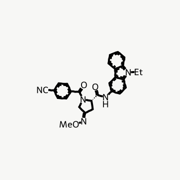 CCn1c2ccccc2c2cc(NC(=O)[C@@H]3CC(=NOC)CN3C(=O)c3ccc(C#N)cc3)ccc21